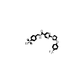 CCS(=O)(=O)c1ccc(CNC(=O)c2cnc(N3CC[C@@H](Oc4ccc(C(F)(F)F)cc4)C3)nc2)cc1